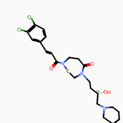 O=C(C=Cc1ccc(Cl)c(Cl)c1)N1CCC(=O)N(CC[C@H](O)CN2CCCCC2)CC1